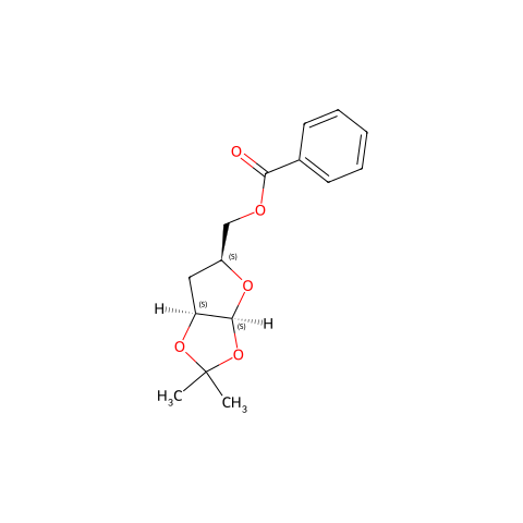 CC1(C)O[C@@H]2O[C@H](COC(=O)c3ccccc3)C[C@@H]2O1